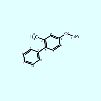 CCCOc1ccc(-c2[c]cccc2)c(C)c1